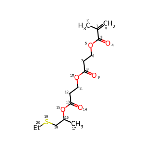 C=C(C)C(=O)OCCC(=O)OCCC(=O)OC(C)CSCC